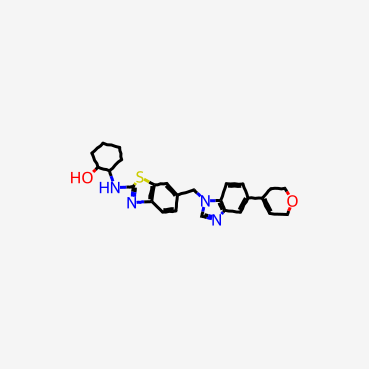 OC1CCCCC1Nc1nc2ccc(Cn3cnc4cc(C5=CCOCC5)ccc43)cc2s1